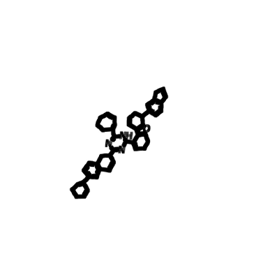 C1=CCCCC(C2=NC(C3C=Cc4cc(C5=CCCC=C5)ccc4C3)=NC(C3=CCCc4oc5c(c43)C=CCC5c3ccc4c(c3)CC=C4)N2)=C1